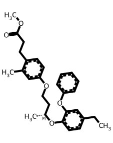 CCc1ccc(O[C@H](C)CCOc2ccc(CCC(=O)OC)c(C)c2)c(Oc2ccccc2)c1